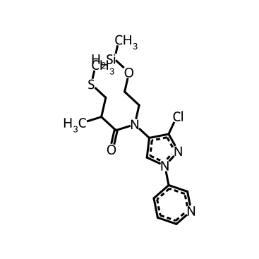 C[SiH2]OCCN(C(=O)C(C)CSC)c1cn(-c2cccnc2)nc1Cl